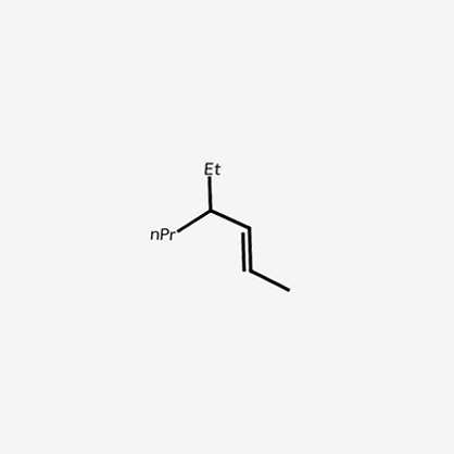 [CH2]CC(C=CC)CCC